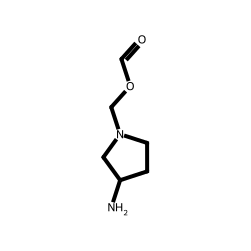 NC1CCN(COC=O)C1